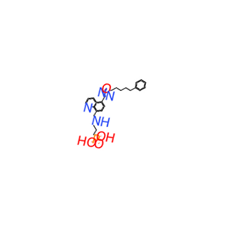 O=P(O)(O)CCCNCc1ccc(-c2noc(CCCCc3ccccc3)n2)c2cccnc12